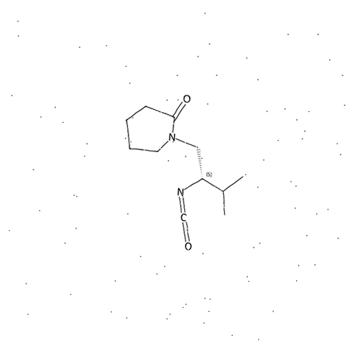 CC(C)[C@@H](CN1CCCCC1=O)N=C=O